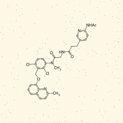 CC(=O)Nc1ccc(CCC(=O)NCC(=O)N(C)c2ccc(Cl)c(COc3cccc4ccc(C)nc34)c2Cl)cn1